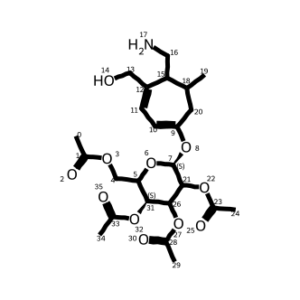 CC(=O)OCC1O[C@@H](OC2=CC=C(CO)C(CN)C(C)C2)C(OC(C)=O)C(OC(C)=O)[C@H]1OC(C)=O